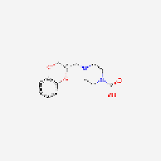 O=C(O)N1CCN(C[C@H]2COc3ccccc3O2)CC1